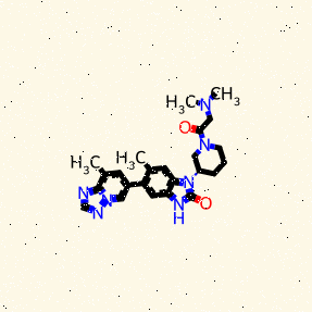 Cc1cc2c(cc1-c1cc(C)c3ncnn3c1)[nH]c(=O)n2[C@H]1CCCN(C(=O)CN(C)C)C1